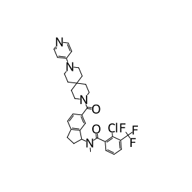 CN(C(=O)c1cccc(C(F)(F)F)c1Cl)C1CCc2ccc(C(=O)N3CCC4(CC3)CCN(c3ccncc3)CC4)cc21